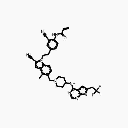 C=CC(=O)Nc1ccc(CCn2c(C#N)cc3c(C)c(CN4CCC(Nc5ncnc6sc(CC(F)(F)F)cc56)CC4)ccc32)cc1C#N